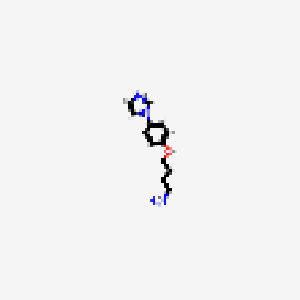 NCCCCOc1ccc(-n2ccnc2)cc1